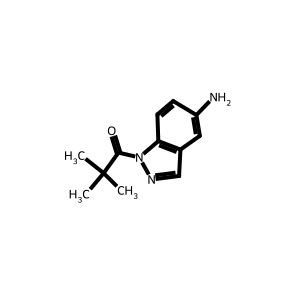 CC(C)(C)C(=O)n1ncc2cc(N)ccc21